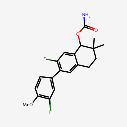 COc1ccc(-c2cc3c(cc2F)C(OC(N)=O)C(C)(C)CC3)cc1F